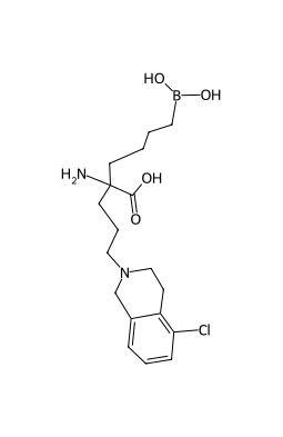 NC(CCCCB(O)O)(CCCN1CCc2c(Cl)cccc2C1)C(=O)O